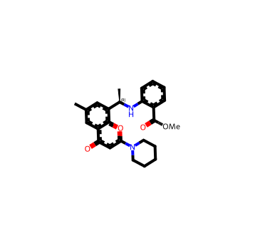 COC(=O)c1ccccc1N[C@H](C)c1cc(C)cc2c(=O)cc(N3CCCCC3)oc12